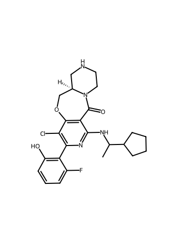 CC(Nc1nc(-c2c(O)cccc2F)c(Cl)c2c1C(=O)N1CCNC[C@@H]1CO2)C1CCCC1